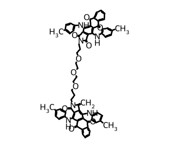 C=C1c2c(Nc3ccc(C)cc3)c3c(c(Nc4ccc(C)cc4)c2C(=O)N1CCCOCCOCCOCCCn1c(=O)c2c(Nc4ccc(C)cc4)c4c(=O)c5ccccc5c(=O)c4c(Nc4ccc(C)cc4)c2c1=O)C(=O)c1ccccc1C3=O